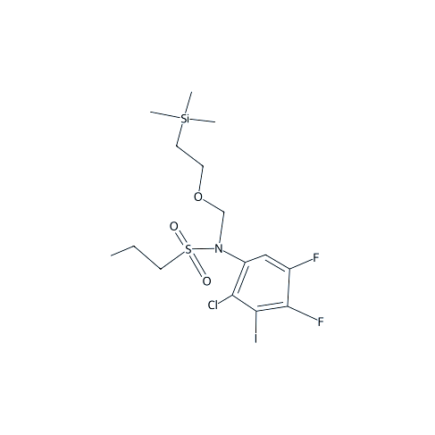 CCCS(=O)(=O)N(COCC[Si](C)(C)C)c1cc(F)c(F)c(I)c1Cl